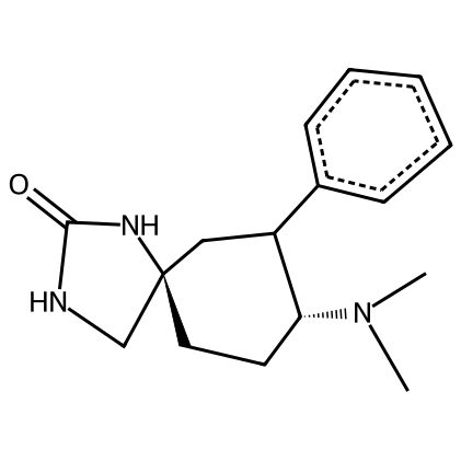 CN(C)[C@@H]1CC[C@]2(CNC(=O)N2)CC1c1ccccc1